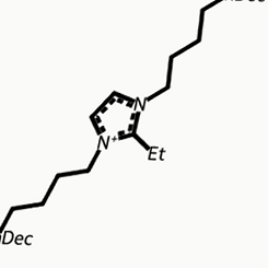 CCCCCCCCCCCCCCn1cc[n+](CCCCCCCCCCCCCC)c1CC